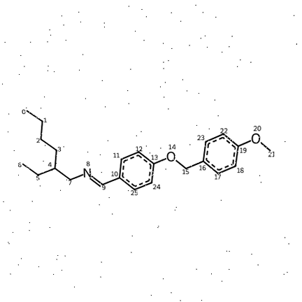 CCCCC(CC)C/N=C/c1ccc(OCc2ccc(OC)cc2)cc1